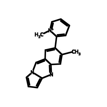 Cc1cc2nc3cccn3cc2cc1-c1cccc[n+]1C